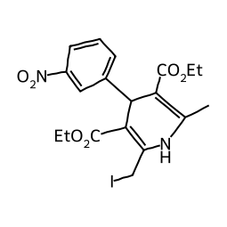 CCOC(=O)C1=C(C)NC(CI)=C(C(=O)OCC)C1c1cccc([N+](=O)[O-])c1